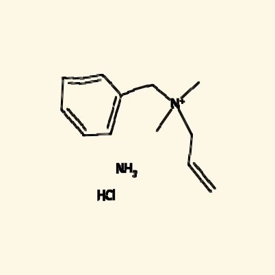 C=CC[N+](C)(C)Cc1ccccc1.Cl.N